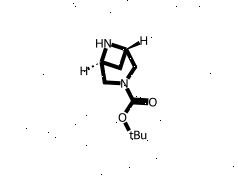 CC(C)(C)OC(=O)N1C[C@@H]2C[C@@H](C1)N2